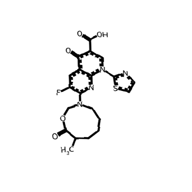 CC1CCCCN(c2nc3c(cc2F)c(=O)c(C(=O)O)cn3-c2nccs2)COC1=O